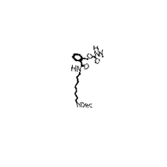 CCCCCCCCCCCCCCCCCCNC(=O)c1ccccc1COC(=O)NN(C)C